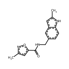 Cc1cc(C(=O)NCc2ccc3[nH]c(C)cc3c2)on1